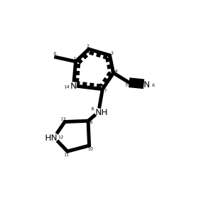 Cc1ccc(C#N)c(NC2CCNC2)n1